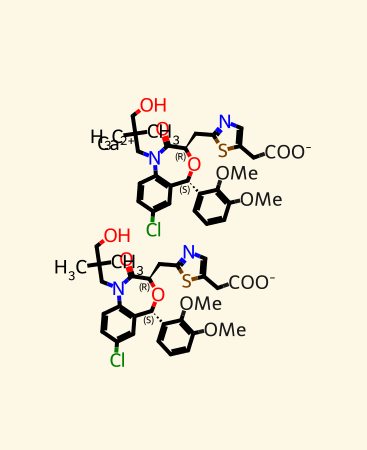 COc1cccc([C@H]2O[C@H](Cc3ncc(CC(=O)[O-])s3)C(=O)N(CC(C)(C)CO)c3ccc(Cl)cc32)c1OC.COc1cccc([C@H]2O[C@H](Cc3ncc(CC(=O)[O-])s3)C(=O)N(CC(C)(C)CO)c3ccc(Cl)cc32)c1OC.[Ca+2]